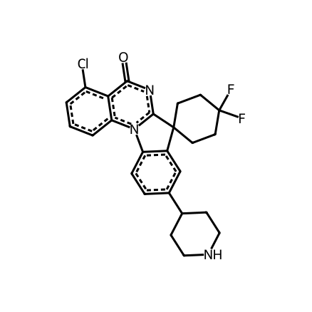 O=c1nc2n(c3cccc(Cl)c13)-c1ccc(C3CCNCC3)cc1C21CCC(F)(F)CC1